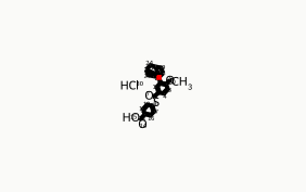 COc1ccc(C(=O)Sc2ccc(C(=O)O)cc2)cc1C1C2CC3CC(C2)CC1C3.Cl